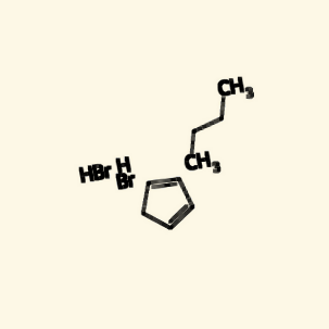 Br.Br.C1=CCC=C1.CCCC